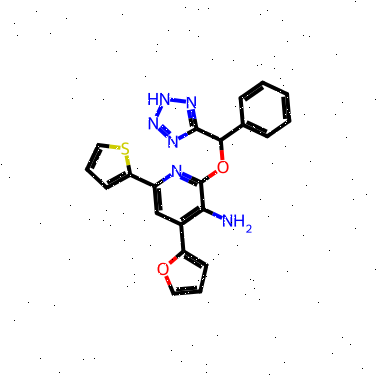 Nc1c(-c2ccco2)cc(-c2cccs2)nc1OC(c1ccccc1)c1nn[nH]n1